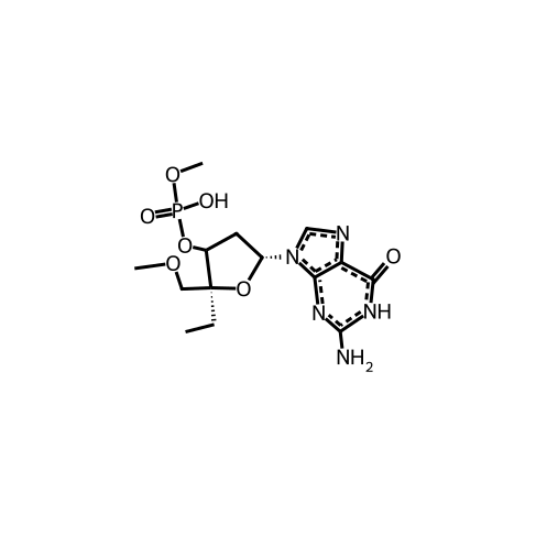 CC[C@@]1(COC)O[C@@H](n2cnc3c(=O)[nH]c(N)nc32)CC1OP(=O)(O)OC